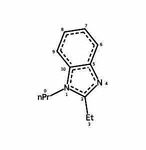 CCCn1c(CC)nc2ccccc21